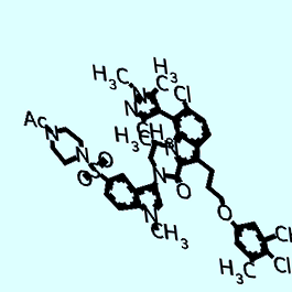 CC(=O)N1CCN(S(=O)(=O)c2ccc3c(c2)c(N2CC(C)n4c(c(CCCOc5cc(C)c(Cl)c(C)c5)c5ccc(Cl)c(-c6c(C)nn(C)c6C)c54)C2=O)cn3C)CC1